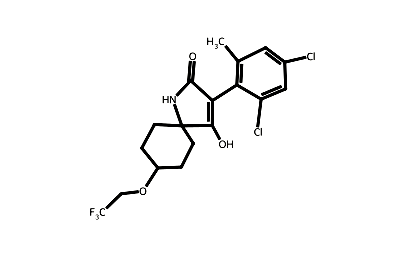 Cc1cc(Cl)cc(Cl)c1C1=C(O)C2(CCC(OCC(F)(F)F)CC2)NC1=O